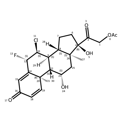 CC(=O)OCC(=O)[C@@]1(O)CC[C@H]2[C@@H]3[C@H](Cl)[C@@H](F)C4=CC(=O)C=C[C@]4(C)[C@H]3[C@@H](O)C[C@@]21C